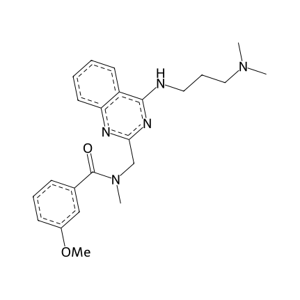 COc1cccc(C(=O)N(C)Cc2nc(NCCCN(C)C)c3ccccc3n2)c1